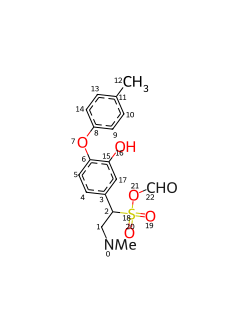 CNCC(c1ccc(Oc2ccc(C)cc2)c(O)c1)S(=O)(=O)OC=O